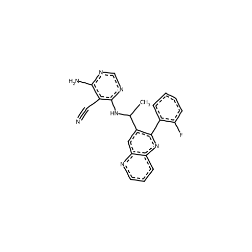 CC(Nc1ncnc(N)c1C#N)c1cc2ncccc2nc1-c1ccccc1F